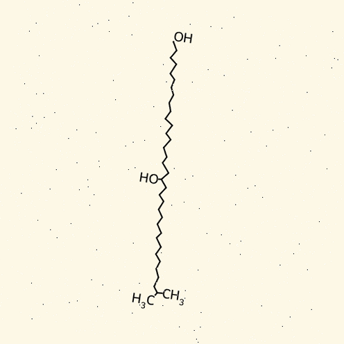 CC(C)CCCCCCCCCCCCCCC(O)CCCCCCCCCCCCCCCCCCO